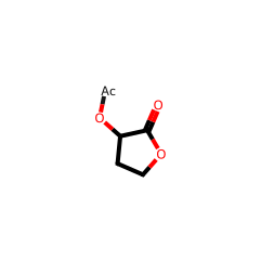 CC(=O)OC1CCOC1=O